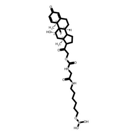 C[C@]12C[C@H](O)C3(F)[C@@H](CCC4=CC(=O)C=C[C@@]43C)C1CCC2C(=O)COC(=O)NCC(=O)NCCCCCCON(O)O